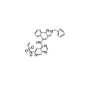 C=CS(=O)(=O)Nc1cc2c(Nc3cc4cn(Cc5ccccc5)nc4c4ccccc34)ncnc2cn1